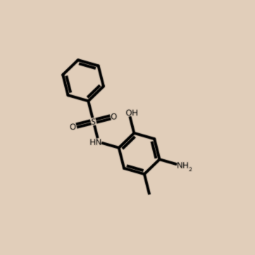 Cc1cc(NS(=O)(=O)c2ccccc2)c(O)cc1N